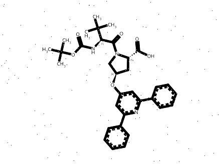 CC(C)(C)OC(=O)N[C@H](C(=O)N1C[C@H](Oc2cc(-c3ccccc3)nc(-c3ccccc3)c2)C[C@H]1C(=O)O)C(C)(C)C